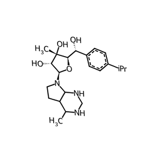 CC(C)c1ccc([C@@H](O)[C@H]2O[C@@H](N3CCC4C(C)NCNC43)[C@H](O)[C@]2(C)O)cc1